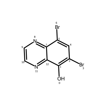 Oc1c(Br)cc(Br)c2nccnc12